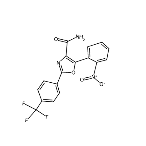 NC(=O)c1nc(-c2ccc(C(F)(F)F)cc2)oc1-c1ccccc1[N+](=O)[O-]